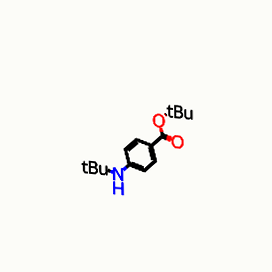 CC(C)(C)Nc1ccc(C(=O)OC(C)(C)C)cc1